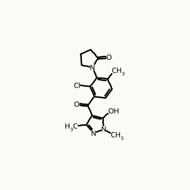 Cc1ccc(C(=O)c2c(C)nn(C)c2O)c(Cl)c1N1CCCC1=O